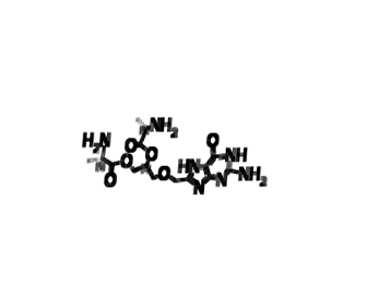 C[C@H](N)C(=O)OC[C@H](COCc1nc2nc(N)[nH]c(=O)c2[nH]1)OC(=O)[C@H](C)N